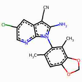 Cc1cc2c(c(C)c1-n1c(N)c(C#N)c3cc(Cl)cnc31)OCO2